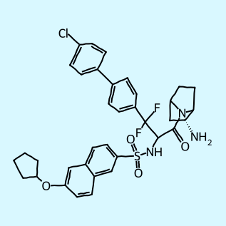 N[C@@H]1CC2CCC1N2C(=O)C(NS(=O)(=O)c1ccc2cc(OC3CCCC3)ccc2c1)C(F)(F)c1ccc(-c2ccc(Cl)cc2)cc1